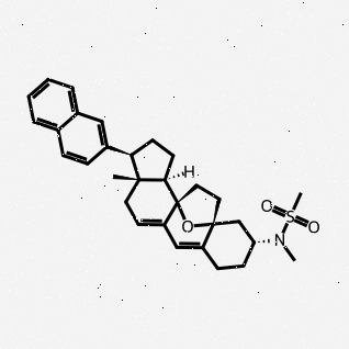 CN([C@@H]1CCC2=CC3=CC[C@]4(C)[C@@H](c5ccc6ccccc6c5)CC[C@H]4[C@@]34CC[C@]2(C1)O4)S(C)(=O)=O